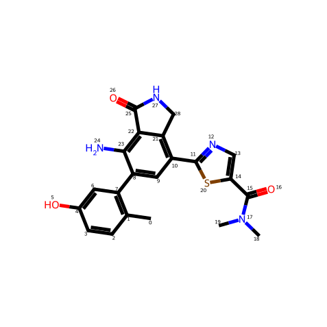 Cc1ccc(O)cc1-c1cc(-c2ncc(C(=O)N(C)C)s2)c2c(c1N)C(=O)NC2